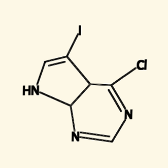 ClC1=NC=NC2NC=C(I)C12